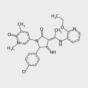 CCOc1ncccc1N/C(C)=C1\C(=N)C(c2ccc(Cl)cc2)N(c2cc(C)c(=O)n(C)c2)C1=O